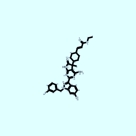 CCOC(=O)/C=C/C1CCC(C2(C)C(=O)Nc3nc(-c4nn(Cc5cccc(F)c5)c5cc(Cl)ccc45)nc(N)c32)CC1